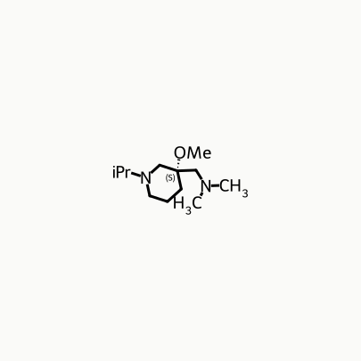 CO[C@]1(CN(C)C)CCCN(C(C)C)C1